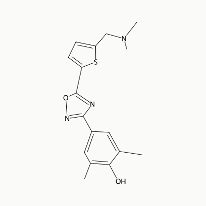 Cc1cc(-c2noc(-c3ccc(CN(C)C)s3)n2)cc(C)c1O